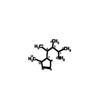 CC(N)C(C)C(C)C1CC=CC1C